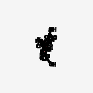 CN1CCN(CCCO)C(=O)c2c1nc(Oc1cc(OC(F)(F)F)cc(-c3cc(Cn4c(Oc5cccc(OC(F)(F)F)c5)nc5c4C(=O)N(CCCO)CC(=O)N5C)ccc3Cl)c1)n2Cc1ccc(Cl)cc1